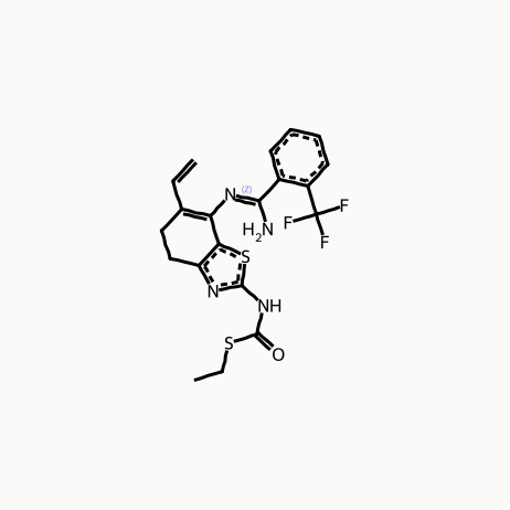 C=CC1=C(/N=C(\N)c2ccccc2C(F)(F)F)c2sc(NC(=O)SCC)nc2CC1